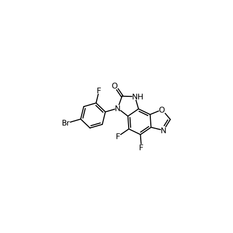 O=c1[nH]c2c3ocnc3c(F)c(F)c2n1-c1ccc(Br)cc1F